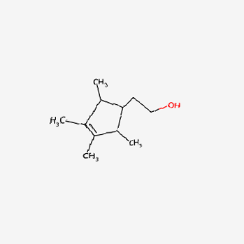 CC1=C(C)C(C)C(CCO)C1C